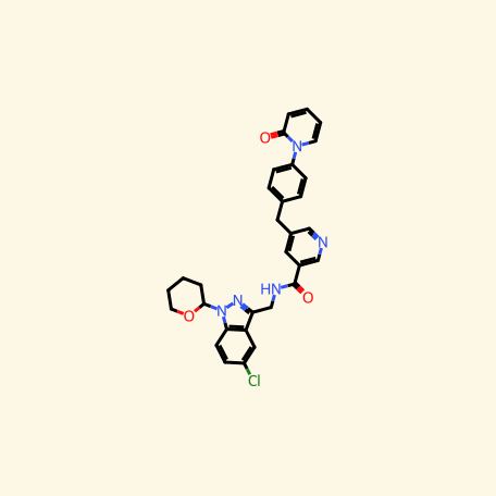 O=C(NCc1nn(C2CCCCO2)c2ccc(Cl)cc12)c1cncc(Cc2ccc(-n3ccccc3=O)cc2)c1